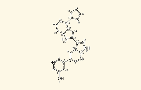 Oc1cncc(-c2cnc3[nH]nc(-c4cc5c(-c6cccs6)cccc5[nH]4)c3c2)c1